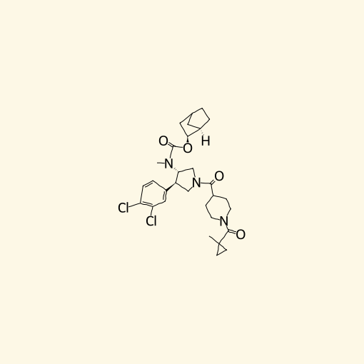 CN(C(=O)O[C@H]1CC2CC[C@@H]1C2)[C@@H]1CN(C(=O)C2CCN(C(=O)C3(C)CC3)CC2)C[C@H]1c1ccc(Cl)c(Cl)c1